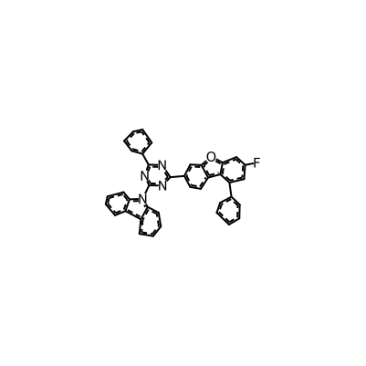 Fc1cc(-c2ccccc2)c2c(c1)oc1cc(-c3nc(-c4ccccc4)nc(-n4c5ccccc5c5ccccc54)n3)ccc12